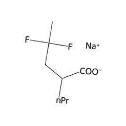 CCCC(CC(C)(F)F)C(=O)[O-].[Na+]